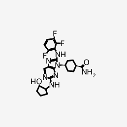 NC(=O)[C@H]1CC[C@@H](n2c(Nc3c(F)ccc(F)c3F)nc3cnc(NC4CCC[C@H]4O)nc32)CC1